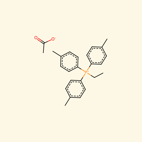 CC(=O)[O-].CC[P+](c1ccc(C)cc1)(c1ccc(C)cc1)c1ccc(C)cc1